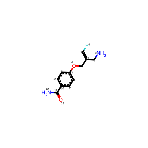 NCC(=CF)COc1ccc(C(N)=O)cc1